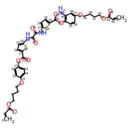 C=CC(=O)OCCCCOc1ccc(OC(=O)c2ccc(NC(=O)C(=O)Nc3ccc(C(=O)Oc4ccc(OCCCCOC(=O)C=C)cc4N)s3)s2)cc1